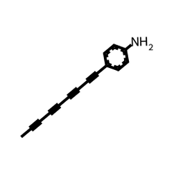 CC#CC#CC#CC#Cc1ccc(N)cc1